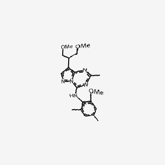 COCC(COC)c1cnn2c(Nc3c(C)cc(C)cc3OC)nc(C)nc12